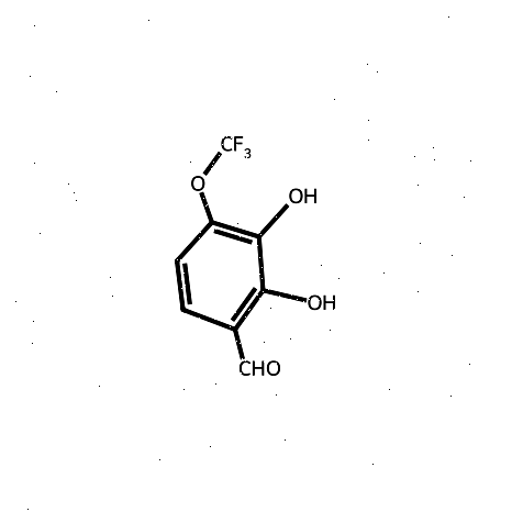 O=Cc1ccc(OC(F)(F)F)c(O)c1O